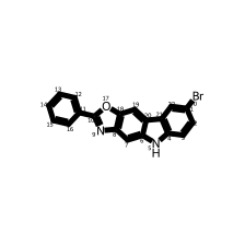 Brc1ccc2[nH]c3cc4nc(-c5ccccc5)oc4cc3c2c1